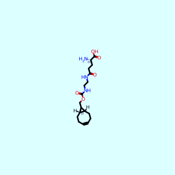 N[C@@H](CCC(=O)NCCNC(=O)OCC1[C@H]2CCC#CCC[C@@H]12)C(=O)O